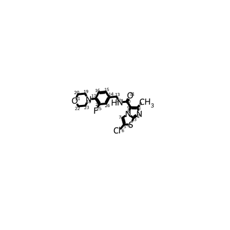 Cc1nc2sc(Cl)cn2c1C(=O)NCc1ccc(N2CCOCC2)c(F)c1